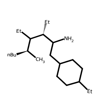 CCCC[C@H](C)C(CC)[C@H](CC)C(N)CC1CCC(CC)CC1